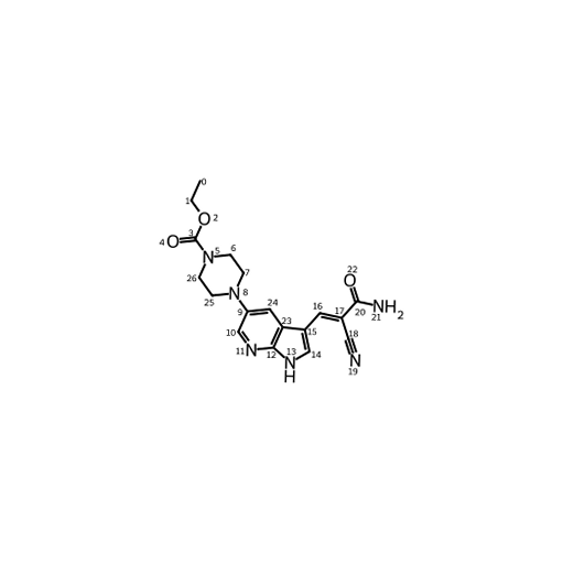 CCOC(=O)N1CCN(c2cnc3[nH]cc(/C=C(\C#N)C(N)=O)c3c2)CC1